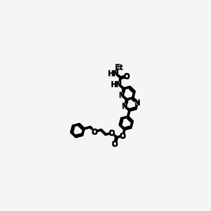 CCNC(=O)Nc1ccc2ncc(-c3ccc(OC(=O)OCCOCc4ccccc4)cc3)nc2n1